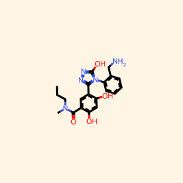 CCCN(C)C(=O)c1cc(-c2nnc(O)n2-c2ccccc2CN)c(O)cc1O